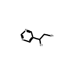 CCC(CC(C)C)c1cncnc1